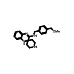 COCc1ccc(CNC2=Nc3ccccc3NC23CCNCC3)cc1